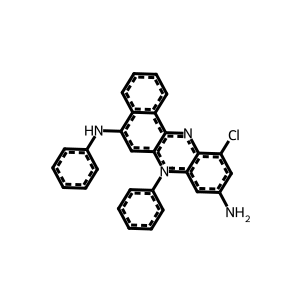 Nc1cc(Cl)c2nc3c4ccccc4c(Nc4ccccc4)cc3[n+](-c3ccccc3)c2c1